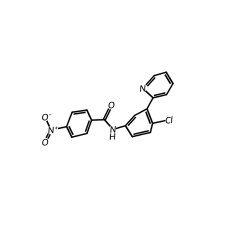 O=C(Nc1ccc(Cl)c(-c2ccccn2)c1)c1ccc([N+](=O)[O-])cc1